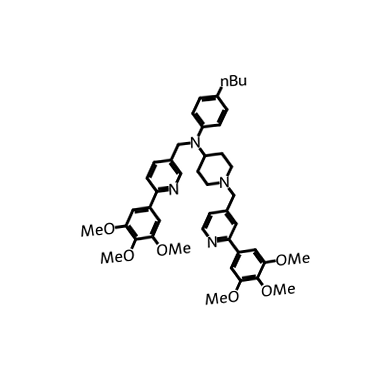 CCCCc1ccc(N(Cc2ccc(-c3cc(OC)c(OC)c(OC)c3)nc2)C2CCN(Cc3ccnc(-c4cc(OC)c(OC)c(OC)c4)c3)CC2)cc1